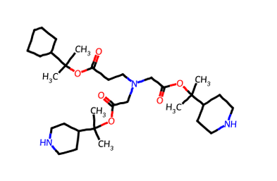 CC(C)(OC(=O)CCN(CC(=O)OC(C)(C)C1CCNCC1)CC(=O)OC(C)(C)C1CCNCC1)C1CCCCC1